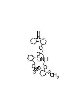 COc1ccccc1OCCNCC(COc1cccc2[nH]c3ccccc3c12)OC(=O)c1ccccc1CO[N+](=O)[O-]